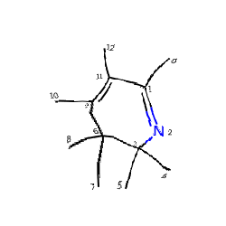 CC1=NC(C)(C)C(C)(C)C(C)=C1C